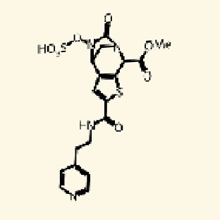 COC(=O)C1c2sc(C(=O)NCCc3ccncc3)cc2C2CN1C(=O)N2OS(=O)(=O)O